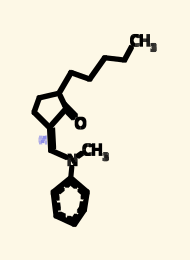 CCCCCC1CC/C(=C/N(C)c2ccccc2)C1=O